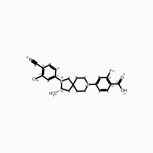 C[C@H]1CC2(CCN(c3ccc(C(=O)O)c(F)c3)CC2)CN1c1ccc(C#N)c(Cl)c1